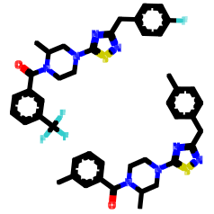 CC1CN(c2nc(Cc3ccc(F)cc3)ns2)CCN1C(=O)c1cccc(C(F)(F)F)c1.Cc1ccc(Cc2nsc(N3CCN(C(=O)c4cccc(C)c4)C(C)C3)n2)cc1